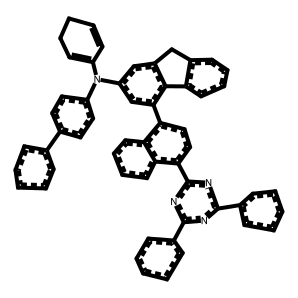 C1=CC(N(c2ccc(-c3ccccc3)cc2)c2cc3c(c(-c4ccc(-c5nc(-c6ccccc6)nc(-c6ccccc6)n5)c5ccccc45)c2)-c2ccccc2C3)=CCC1